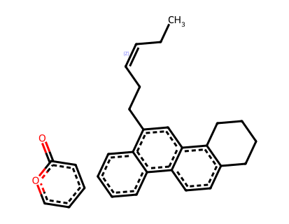 CC/C=C\CCc1cc2c3c(ccc2c2ccccc12)CCCC3.O=c1cccco1